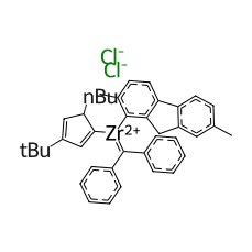 CCCCC1C=C(C(C)(C)C)C=[C]1[Zr+2](=[C](c1ccccc1)c1ccccc1)[c]1c(C)ccc2c1Cc1cc(C)ccc1-2.[Cl-].[Cl-]